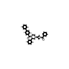 O=C(c1ccccc1)N1CC(N2CCN(C(=O)c3ccc(-c4ccccc4)cc3)C(c3ccccc3)C2)C1